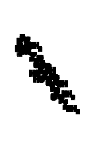 NCCC[C@H](N)C(=O)OCC(OC(=O)[C@@H](O)[C@@H](O)[C@H](O)[C@H](C=O)OC(=O)CCCCC12N=CN=C1N=CN=C2N)C(=O)O